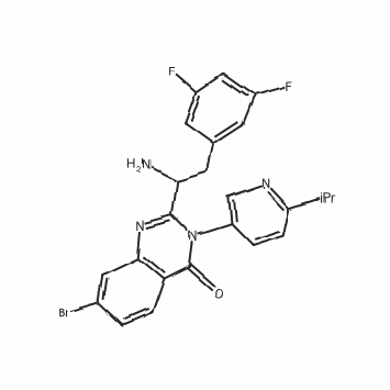 CC(C)c1ccc(-n2c(C(N)Cc3cc(F)cc(F)c3)nc3cc(Br)ccc3c2=O)cn1